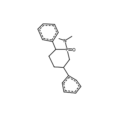 CN(C)P1(=O)CC(c2ccccc2)CCC1c1ccccc1